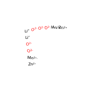 [Li+].[Li+].[Mn+2].[Mn+2].[O-2].[O-2].[O-2].[O-2].[O-2].[Zn+2].[Zn+2]